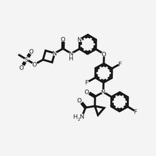 CS(=O)(=O)OC1CN(C(=O)Nc2cc(Oc3cc(F)c(N(C(=O)C4(C(N)=O)CC4)c4ccc(F)cc4)cc3F)ccn2)C1